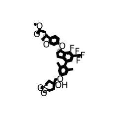 COC(=O)C[C@@H]1COc2cc(O[C@@H]3CCc4c(-c5c(C)cc(OCC6(O)CCS(=O)(=O)CC6)cc5C)cc(C(F)(F)F)c(F)c43)ccc21